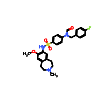 COc1cc2c(cc1NS(=O)(=O)c1ccc(N(C=O)Cc3ccc(F)cc3)cc1)CCN(C)CC2